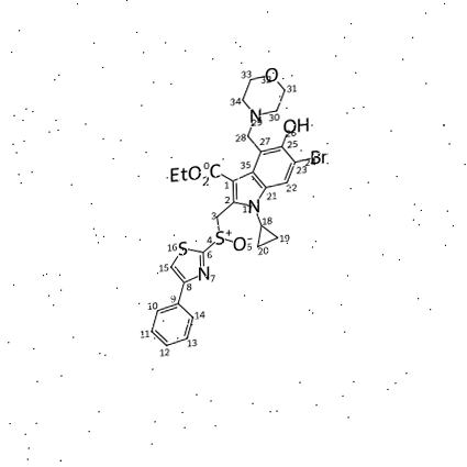 CCOC(=O)c1c(C[S+]([O-])c2nc(-c3ccccc3)cs2)n(C2CC2)c2cc(Br)c(O)c(CN3CCOCC3)c12